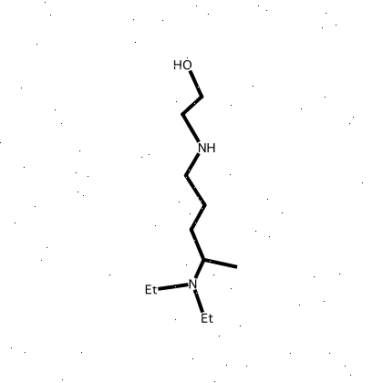 CCN(CC)C(C)CCCNCCO